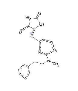 CN(CCc1ccccc1)c1nccc(/C=C2\NC(=O)NC2=O)n1